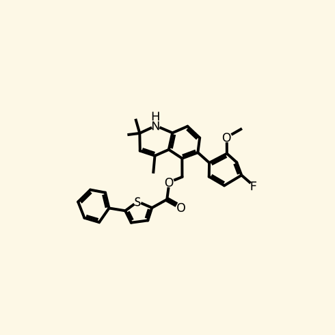 COc1cc(F)ccc1-c1ccc2c(c1COC(=O)c1ccc(-c3ccccc3)s1)C(C)=CC(C)(C)N2